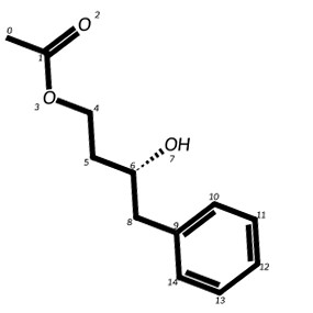 CC(=O)OCC[C@H](O)Cc1ccccc1